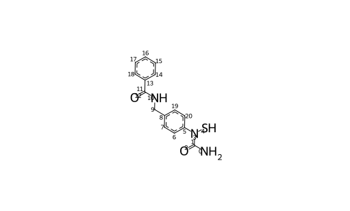 NC(=O)N(S)c1ccc(CNC(=O)c2ccccc2)cc1